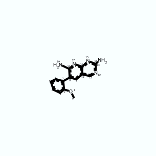 COc1ccccc1-c1cc2cnc(N)nc2nc1N